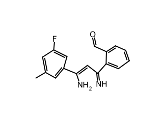 Cc1cc(F)cc(/C(N)=C/C(=N)c2ccccc2C=O)c1